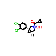 O=C(C1CC1)[N+]1(O)C[C@H]2C[C@@]2(c2ccc(Cl)c(Cl)c2)C1